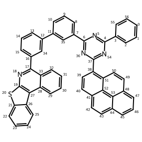 c1ccc(-c2nc(-c3cccc(-c4cccc(-c5nc6sc7ccccc7c6c6ccccc56)c4)c3)nc(-c3ccc4ccc5cccc6ccc3c4c56)n2)cc1